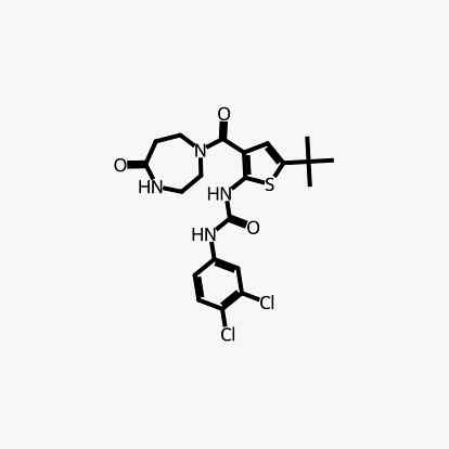 CC(C)(C)c1cc(C(=O)N2CCNC(=O)CC2)c(NC(=O)Nc2ccc(Cl)c(Cl)c2)s1